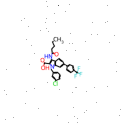 CCCCC(=O)Nc1c(C(=O)O)n(Cc2cccc(Cl)c2)c2cc(-c3ccc(C(F)(F)F)cc3)ccc12